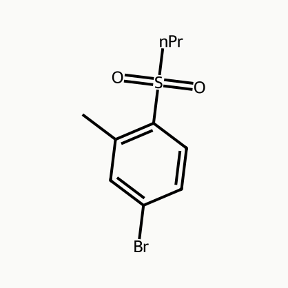 CCCS(=O)(=O)c1ccc(Br)cc1C